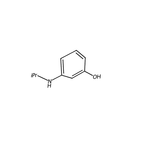 CC(C)Nc1cccc(O)c1